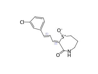 O=C1NCCC[S+]([O-])/C1=C\C=C\c1cccc(Cl)c1